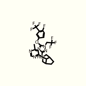 Cc1cc(N2CC3CCC(C2)C3Nc2nc(Oc3ccc(F)c(C(F)(F)F)c3)n(CC(F)(F)F)n2)ncn1